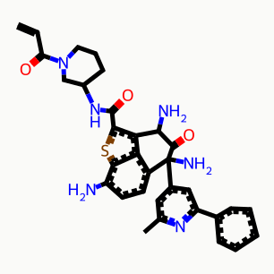 C=CC(=O)N1CCCC(NC(=O)c2sc3c(N)ccc4c3c2C(N)C(=O)C4(N)c2cc(C)nc(-c3ccccc3)c2)C1